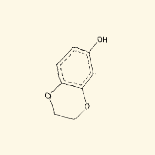 Oc1[c]c2c(cc1)OCCO2